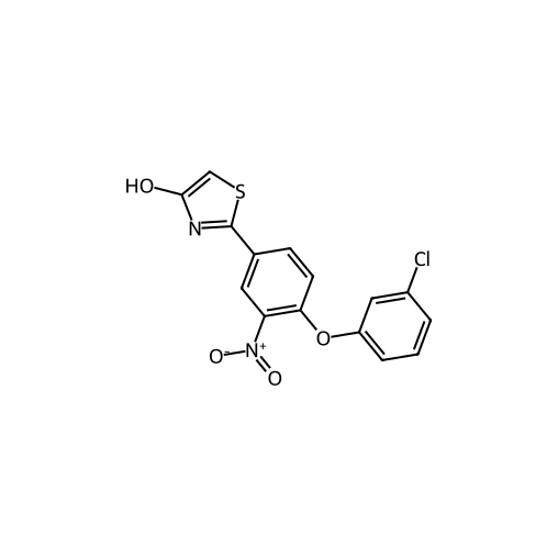 O=[N+]([O-])c1cc(-c2nc(O)cs2)ccc1Oc1cccc(Cl)c1